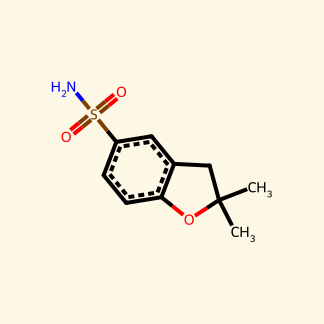 CC1(C)Cc2cc(S(N)(=O)=O)ccc2O1